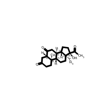 CC(=O)[C@@]1(O)CC[C@H]2[C@@H]3CC(=O)[C@H]4CC(=O)CC[C@]4(C)[C@H]3CC[C@@]21C